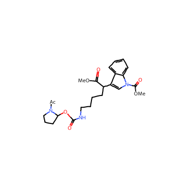 COC(=O)C(CCCCNC(=O)OC1CCCN1C(C)=O)c1cn(C(=O)OC)c2ccccc12